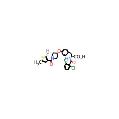 Cc1cc(C(=O)N2CCC(Oc3ccc(C[C@H](NC(=O)c4c(Cl)cccc4Cl)C(=O)O)cc3)CC2)c(C)s1